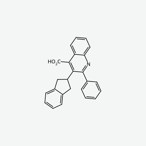 O=C(O)c1c(C2Cc3ccccc3C2)c(-c2ccccc2)nc2ccccc12